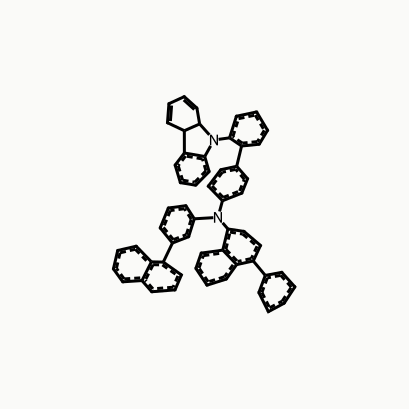 C1=CC2c3ccccc3N(c3ccccc3-c3ccc(N(c4cccc(-c5cccc6ccccc56)c4)c4ccc(-c5ccccc5)c5ccccc45)cc3)C2C=C1